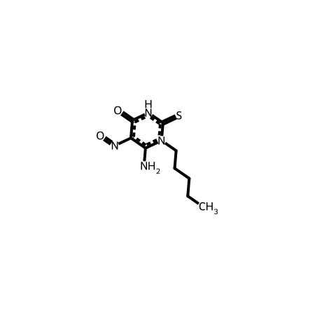 CCCCCn1c(N)c(N=O)c(=O)[nH]c1=S